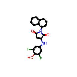 O=C1C=C(Nc2cc(F)c(O)c(F)c2)C(=O)N1c1cccc2ccccc12